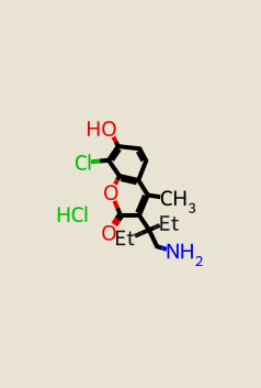 CCC(CC)(CN)c1c(C)c2ccc(O)c(Cl)c2oc1=O.Cl